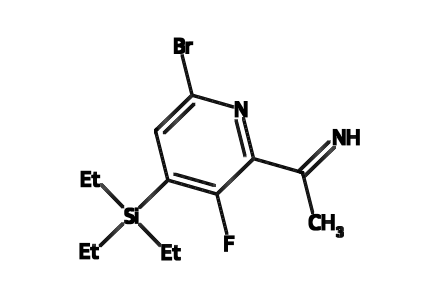 CC[Si](CC)(CC)c1cc(Br)nc(C(C)=N)c1F